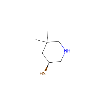 CC1(C)CNC[C@@H](S)C1